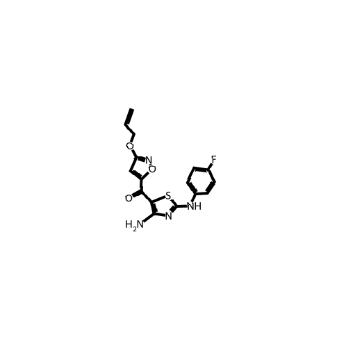 C=CCOc1cc(C(=O)c2sc(Nc3ccc(F)cc3)nc2N)on1